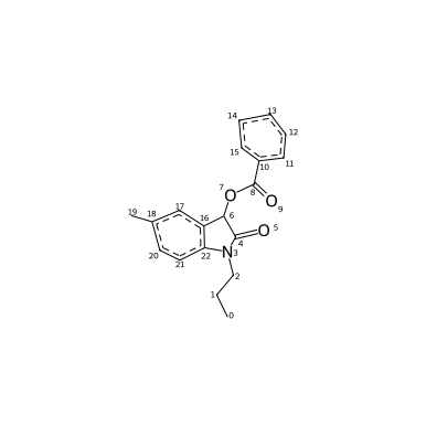 CCCN1C(=O)C(OC(=O)c2ccccc2)c2cc(C)ccc21